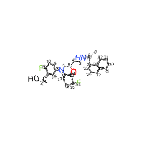 C[C@@H](NCCC1CN(c2ccc(F)c(C(=O)O)c2)c2cccc(F)c2O1)c1cccc2ccccc12